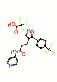 O=C(CCc1cnoc1-c1ccc(C(F)(F)F)cc1)Nc1ccncc1.O=C(O)C(F)(F)F